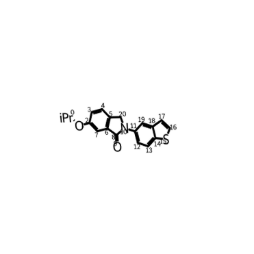 CC(C)Oc1ccc2c(c1)C(=O)N(c1ccc3sccc3c1)C2